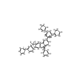 CC1(C)c2cc(-c3ccccc3)ccc2-c2cc3c(cc21)c1cc(-c2nc(-c4ccccc4)cc(-c4ccccc4)n2)ccc1n3-c1ccccc1